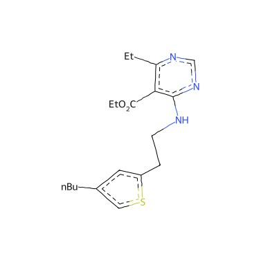 CCCCc1csc(CCNc2ncnc(CC)c2C(=O)OCC)c1